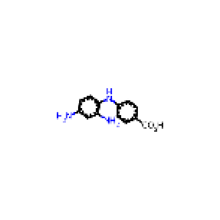 Nc1ccc(Nc2ccc(C(=O)O)cc2)c(N)c1